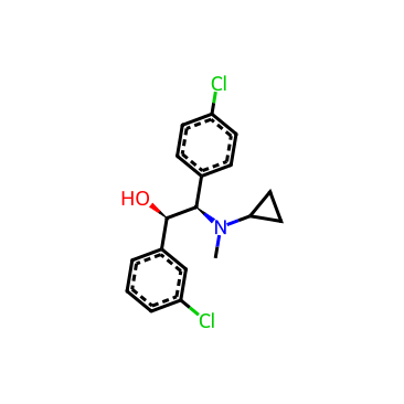 CN(C1CC1)[C@H](c1ccc(Cl)cc1)[C@H](O)c1cccc(Cl)c1